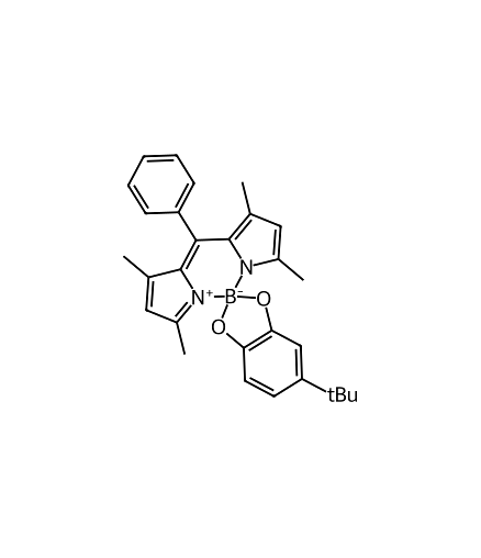 CC1=CC(C)=[N+]2C1=C(c1ccccc1)c1c(C)cc(C)n1[B-]21Oc2ccc(C(C)(C)C)cc2O1